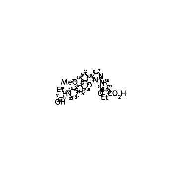 CCO[C@H]1CN(c2nccc(-c3cccc(C)c3OCc3cc4c(c(OC)c3)CN(C(CC)CCO)CC4)n2)CC[C@H]1C(=O)O